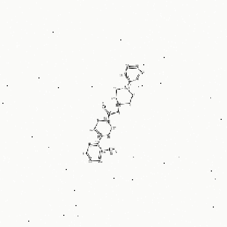 O=C(CN1CCN(c2cnccn2)CC1)N1CC=C(c2ccccc2C(F)(F)F)CC1